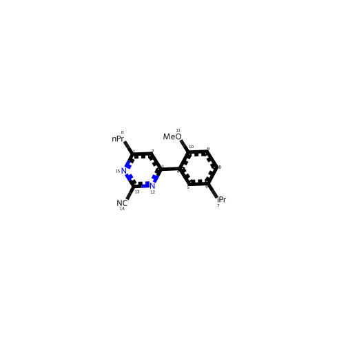 CCCc1cc(-c2cc(C(C)C)ccc2OC)nc(C#N)n1